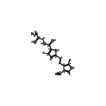 CCCCc1noc(C)c1C=Cc1nc(C)c(C(=O)OCC(N)=O)s1